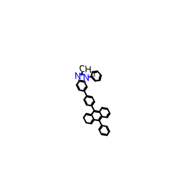 Cc1nc2ccc(-c3ccc(-c4c5c(c(-c6ccccc6)c6ccccc46)=CCCC=5)cc3)cc2n1-c1ccccc1